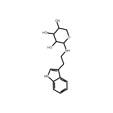 OC1COC(NCCc2c[nH]c3ccccc23)C(O)C1O